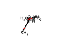 C=C(N)NCCCC(NC(=O)CCCCCCCCCCCCCCCCC)C(=O)NCC